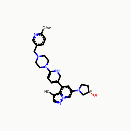 COc1ccc(CN2CCN(C3=CC=C(c4cc(N5CC[C@H](O)C5)cn5ncc(C#N)c45)CN3)CC2)cn1